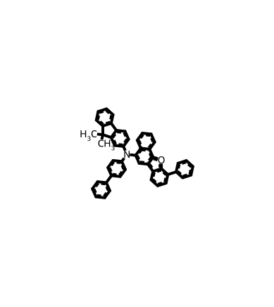 CC1(C)c2ccccc2-c2ccc(N(c3ccc(-c4ccccc4)cc3)c3cc4c5cccc(-c6ccccc6)c5oc4c4ccccc34)cc21